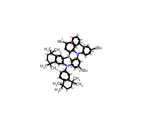 CC(C)(C)c1ccc2c(c1)B1c3cc4c(cc3N(c3ccc5c(c3)C(C)(C)CCC5(C)C)c3cc(C(C)(C)C)cc(c31)N2c1ccc(C(C)(C)C)cc1-c1ccccc1)C(C)(C)CCC4(C)C